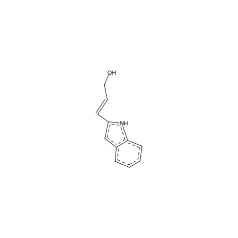 OCC=Cc1cc2ccccc2[nH]1